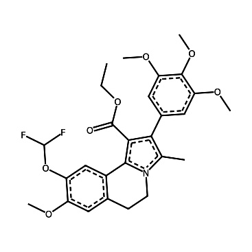 CCOC(=O)c1c(-c2cc(OC)c(OC)c(OC)c2)c(C)n2c1-c1cc(OC(F)F)c(OC)cc1CC2